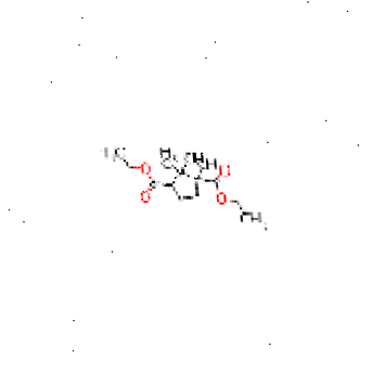 CCOC(=O)C1CCC(C)(C(=O)OCC)C1(C)C